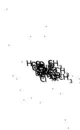 COCC(COC)n1c(NS(=O)(=O)[C@@H](C)[C@H](OC)c2ncc(Cl)cn2)nnc1-c1cccc(OC)n1